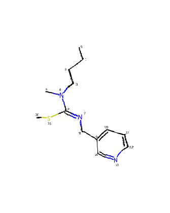 CCCCN(C)C(=NCc1cccnc1)SC